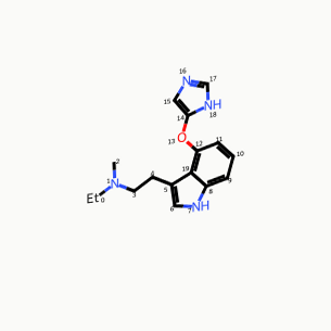 CCN(C)CCc1c[nH]c2cccc(Oc3cnc[nH]3)c12